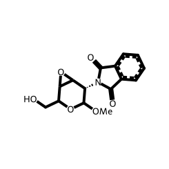 COC1OC(CO)C2OC2[C@@H]1N1C(=O)c2ccccc2C1=O